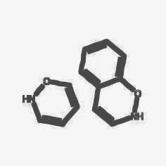 C1=CNOC=C1.C1=Cc2ccccc2ON1